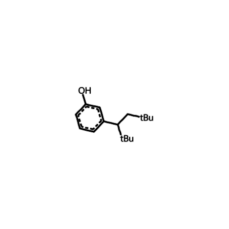 CC(C)(C)CC(c1cccc(O)c1)C(C)(C)C